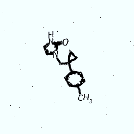 Cc1ccc(C2(Cn3cc[nH]c3=O)CC2)cc1